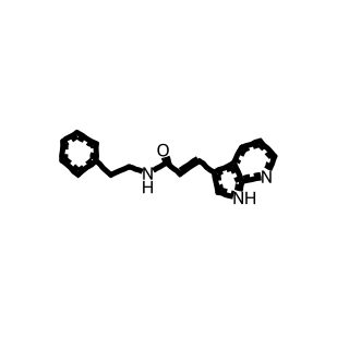 O=C(C=Cc1c[nH]c2ncccc12)NCCc1ccccc1